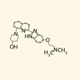 CN(C)CCOc1ccc2[nH]c(-c3ccc4cccc(N5CCC(O)CC5)c4n3)nc2c1